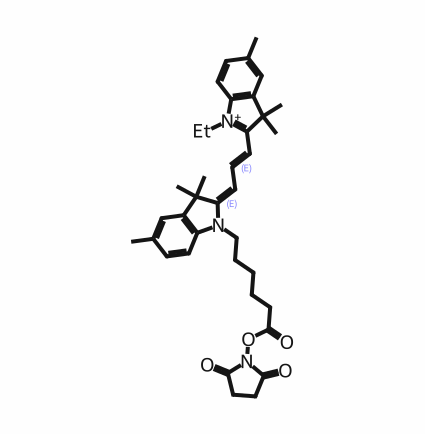 CC[N+]1=C(/C=C/C=C2/N(CCCCCC(=O)ON3C(=O)CCC3=O)c3ccc(C)cc3C2(C)C)C(C)(C)c2cc(C)ccc21